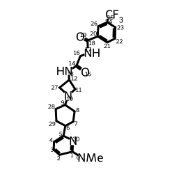 CNc1cccc(C2CCC(N3CC(NC(=O)CNC(=O)c4cccc(C(F)(F)F)c4)C3)CC2)n1